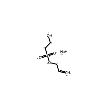 C=CCOS(=O)(=O)CCO.[NaH]